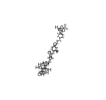 CC1(OC(=O)N2CCC(CCCOc3ccc(CC(=O)N4CC(CNC[C@H](O)[C@@H](O)[C@H](O)[C@H](O)CO)C4)c(F)c3)CC2)CC1